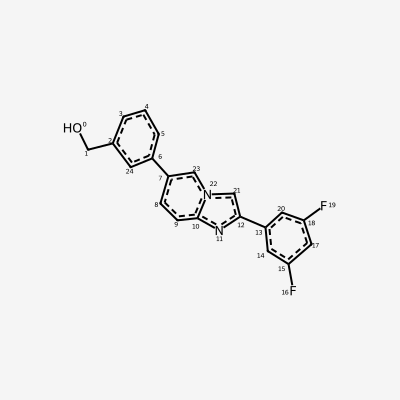 OCc1cccc(-c2ccc3nc(-c4cc(F)cc(F)c4)cn3c2)c1